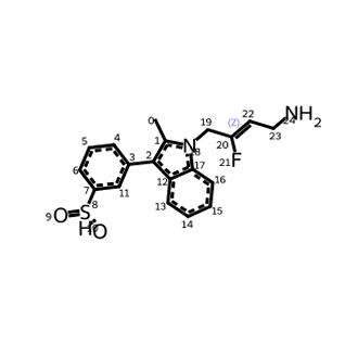 Cc1c(-c2cccc([SH](=O)=O)c2)c2ccccc2n1C/C(F)=C/CN